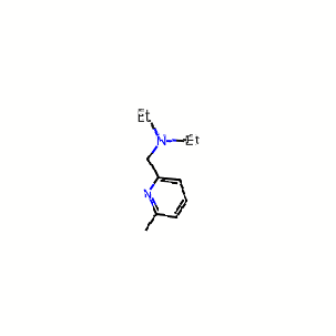 CCN(CC)Cc1cccc(C)n1